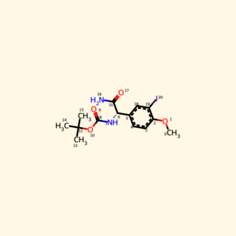 COc1ccc([C@H](NC(=O)OC(C)(C)C)C(N)=O)cc1I